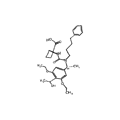 CCOc1cc([C@@H](C)N(CCCCc2ccccc2)C(=O)NC2(C(=O)O)CCC2)cc(OCC)c1C(C)O